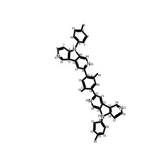 Cc1ccc(-n2c3ccncc3c3cc(-c4cc(C)c(-c5cc6c7cnccc7n(-c7ccc(C)cc7)c6cn5)cc4C)ncc32)cc1